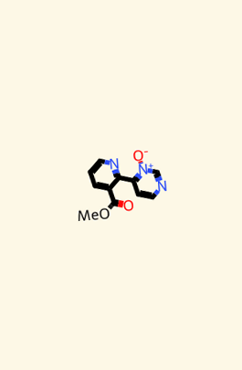 COC(=O)c1cccnc1-c1ccnc[n+]1[O-]